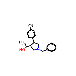 CC(O)C1CN(Cc2ccccc2)CC1c1ccc(C#N)cc1